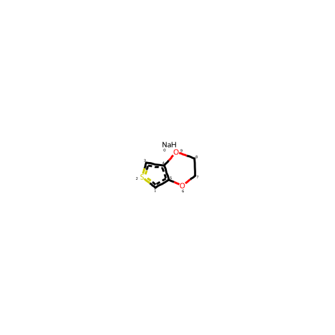 [NaH].c1scc2c1OCCO2